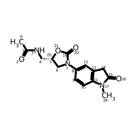 CC(=O)NC[C@H]1CN(c2ccc3c(c2)CC(=O)N3C)C(=O)O1